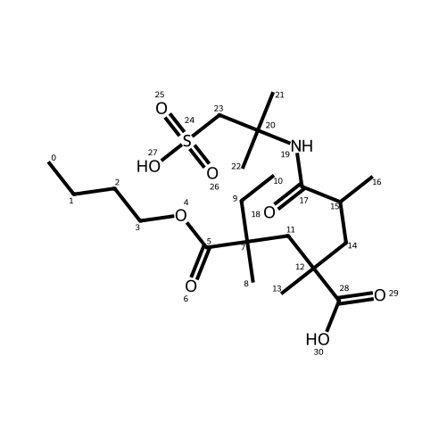 CCCCOC(=O)C(C)(CC)CC(C)(CC(C)C(=O)NC(C)(C)CS(=O)(=O)O)C(=O)O